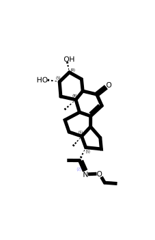 CCO/N=C(/C)[C@H]1CCC2C3=CC(=O)C4C[C@@H](O)[C@@H](O)C[C@]4(C)C3CC[C@@]21C